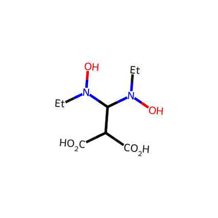 CCN(O)C(C(C(=O)O)C(=O)O)N(O)CC